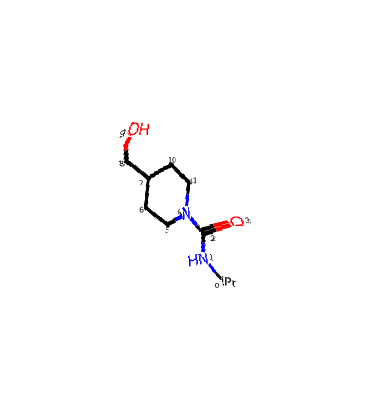 CC(C)NC(=O)N1CCC(CO)CC1